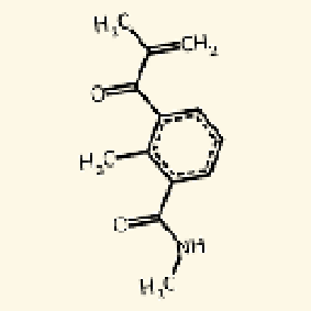 C=C(C)C(=O)c1cccc(C(=O)NC)c1C